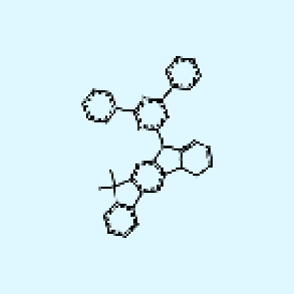 CC1(C)c2ccccc2-c2cc3c(cc21)N(c1nc(-c2ccccc2)nc(-c2ccccc2)n1)C1=CC=CCC13